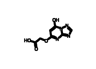 O=C(O)COc1cc(O)n2ncnc2n1